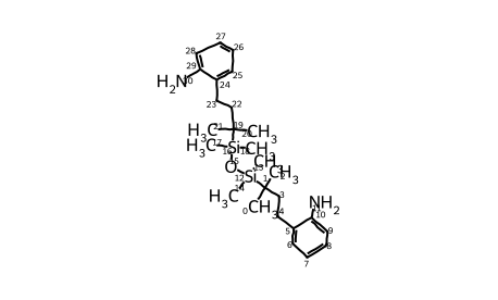 CC(C)(CCc1ccccc1N)[Si](C)(C)O[Si](C)(C)C(C)(C)CCc1ccccc1N